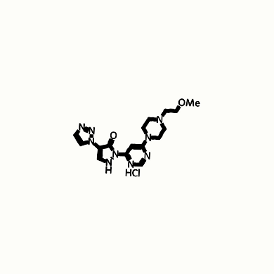 COCCN1CCN(c2cc(-n3[nH]cc(-n4ccnn4)c3=O)ncn2)CC1.Cl